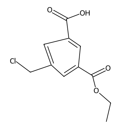 CCOC(=O)c1cc(CCl)cc(C(=O)O)c1